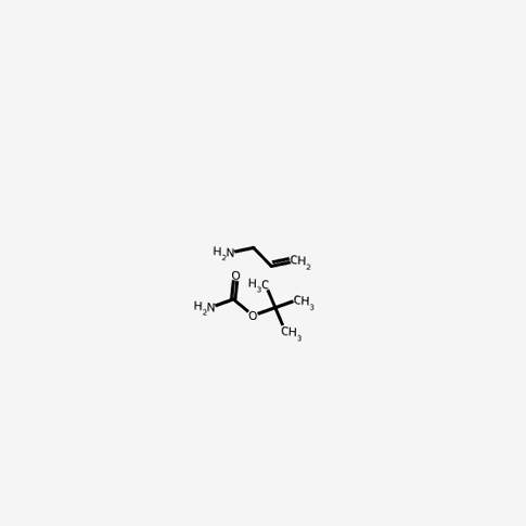 C=CCN.CC(C)(C)OC(N)=O